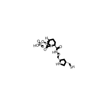 O=C(NOC[C@@H]1C[C@H](CS)CN1)[C@@H]1CC[C@@H]2CN1C(=O)N2OS(=O)(=O)O